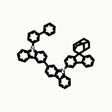 c1ccc(-c2cccc(-n3c4ccccc4c4cc(-c5ccc6c7ccccc7n(-c7ccc8c(c7)-c7ccccc7C87C8CC9CC(C8)CC7C9)c6c5)ccc43)c2)cc1